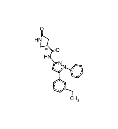 CCc1cccc(-c2cc(NC(=O)[C@H]3CNC(=O)C3)nn2-c2ccccc2)c1